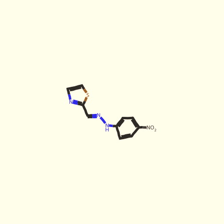 O=[N+]([O-])c1ccc(NN=Cc2nccs2)cc1